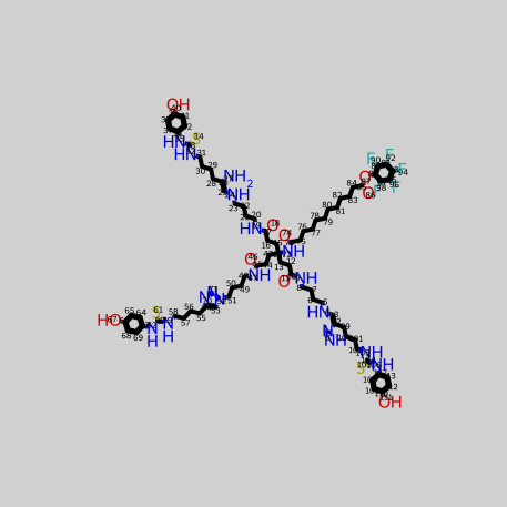 N=N/C(=C\NCCCCNC(=O)CCC(CCC(=O)NCCCCN/C=C(\N)CCCCNC(=S)Nc1ccc(O)cc1)(CCC(=O)NCCCCn1cc(CCCCNC(=S)Nc2ccc(O)cc2)nn1)NC(=O)CCCCCCCCCCC(=O)Oc1c(F)c(F)c(F)c(F)c1F)CCCCNC(=S)Nc1ccc(O)cc1